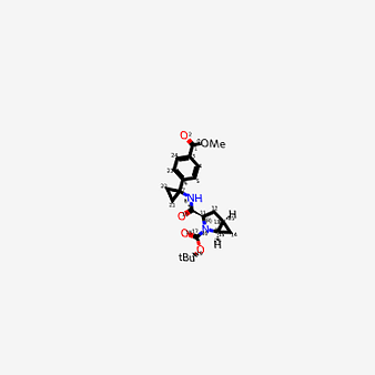 COC(=O)c1ccc(C2(NC(=O)[C@H]3C[C@H]4C[C@H]4N3C(=O)OC(C)(C)C)CC2)cc1